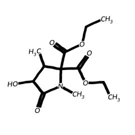 CCOC(=O)C1(C(=O)OCC)C(C)C(O)C(=O)N1C